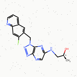 C[C@H](O)CNc1cnc2nnn(Cc3cc4cccnc4cc3F)c2n1